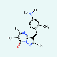 CCc1nc2/c(=C\c3ccc(N(CC)CC)cc3C)c(C(C)(C)C)nn2c(=O)c1C